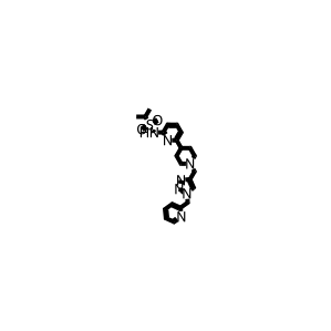 CC(C)S(=O)(=O)Nc1cccc(C2CCN(Cc3cn(Cc4ccccn4)nn3)CC2)n1